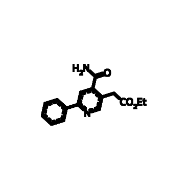 CCOC(=O)Cc1cnc(-c2ccccc2)cc1C(N)=O